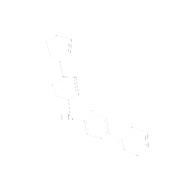 C1=CCCC(c2ccc(NC3C=CC(C4C=CC=CC4)=CC3)cc2)=C1